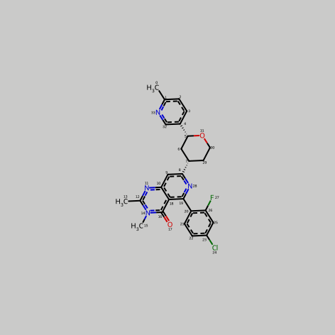 Cc1ccc([C@H]2C[C@@H](c3cc4nc(C)n(C)c(=O)c4c(-c4ccc(Cl)cc4F)n3)CCO2)cn1